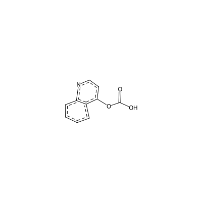 O=C(O)Oc1ccnc2ccccc12